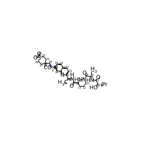 CC(C)[C@H](O)C(=O)N[C@@H](C)C(=O)N1CCC[C@@H](C(=O)N[C@H](C)c2ccc3ccc(/C=C/C4(C(=O)O)CCS(=O)(=O)CC4)cc3n2)N1